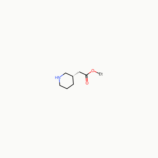 CCOC(=O)C[C@@H]1CCCNC1